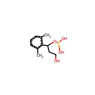 Cc1cccc(C)c1C(CCO)OP(O)O